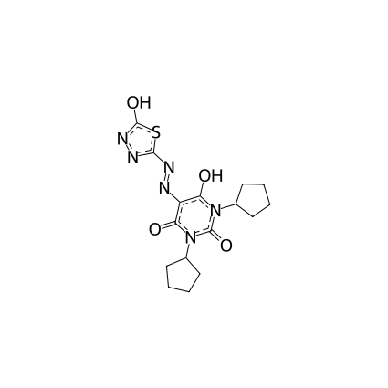 O=c1c(N=Nc2nnc(O)s2)c(O)n(C2CCCC2)c(=O)n1C1CCCC1